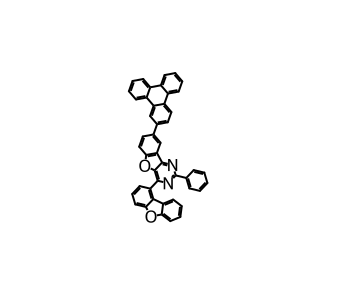 c1ccc(-c2nc(-c3cccc4oc5ccccc5c34)c3oc4ccc(-c5ccc6c7ccccc7c7ccccc7c6c5)cc4c3n2)cc1